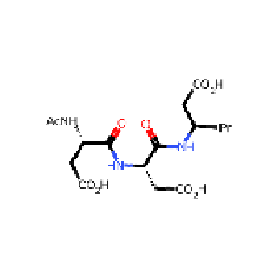 CC(=O)N[C@@H](CC(=O)O)C(=O)N[C@@H](CC(=O)O)C(=O)N[C@@H](CC(=O)O)C(C)C